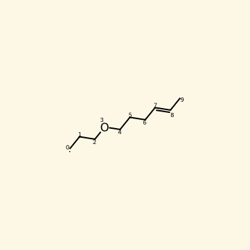 [CH2]CCOCCCC=CC